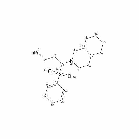 CC(C)CCC(N1CCC2CCCCC2C1)S(=O)(=O)c1ccccc1